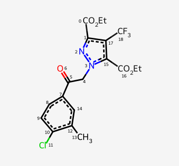 CCOC(=O)c1nn(CC(=O)c2ccc(Cl)c(C)c2)c(C(=O)OCC)c1C(F)(F)F